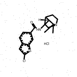 CC1(C)[C@H](NC(=O)c2ccc3cc(Cl)sc3c2)C2CCN1CC2.Cl